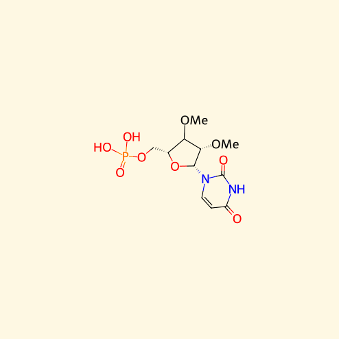 COC1[C@@H](COP(=O)(O)O)O[C@@H](n2ccc(=O)[nH]c2=O)[C@H]1OC